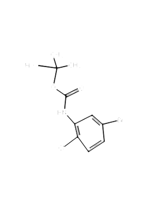 CC(C)(C)OC(=O)Nc1cc(Br)ccc1Cl